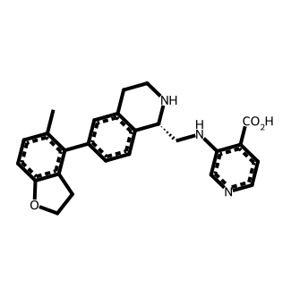 Cc1ccc2c(c1-c1ccc3c(c1)CCN[C@@H]3CNc1cnccc1C(=O)O)CCO2